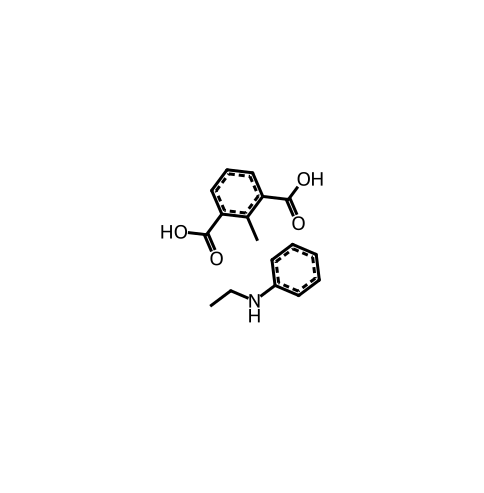 CCNc1ccccc1.Cc1c(C(=O)O)cccc1C(=O)O